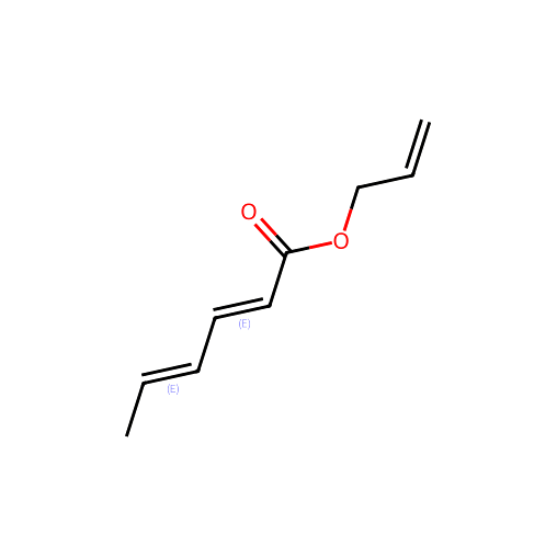 C=CCOC(=O)/C=C/C=C/C